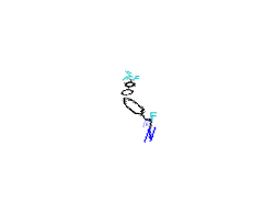 N#C/C(F)=C/C1CCC([C@H]2CC[C@H](c3ccc(C(F)(F)F)cc3)CC2)CC1